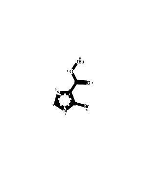 CC(C)(C)OC(=O)c1scnc1Br